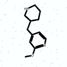 COc1cc(CC2CCCNC2)ccn1